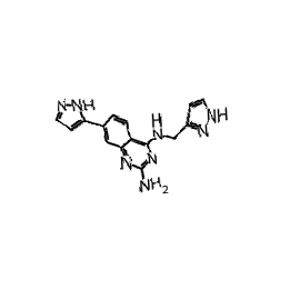 Nc1nc(NCc2cc[nH]n2)c2ccc(-c3ccn[nH]3)cc2n1